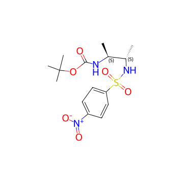 C[C@H](NC(=O)OC(C)(C)C)[C@H](C)NS(=O)(=O)c1ccc([N+](=O)[O-])cc1